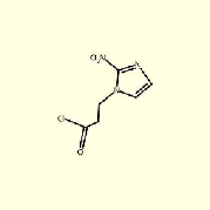 O=C(Cl)CCn1ccnc1[N+](=O)[O-]